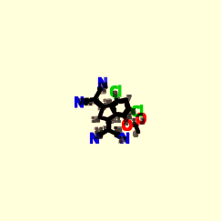 CC(=O)Oc1c(Cl)cc(Cl)c2c1C(=C(C#N)C#N)CC2=C(C#N)C#N